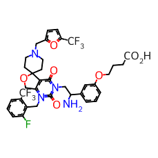 NC(Cn1c(=O)c2c(n(Cc3c(F)cccc3C(F)(F)F)c1=O)COC21CCN(Cc2ccc(C(F)(F)F)o2)CC1)c1cccc(OCCCC(=O)O)c1